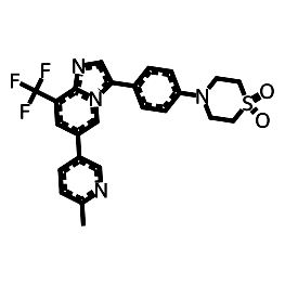 Cc1ccc(-c2cc(C(F)(F)F)c3ncc(-c4ccc(N5CCS(=O)(=O)CC5)cc4)n3c2)cn1